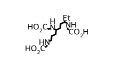 CCC(CCC(CCCNCC(=O)O)NCC(=O)O)NCC(=O)O